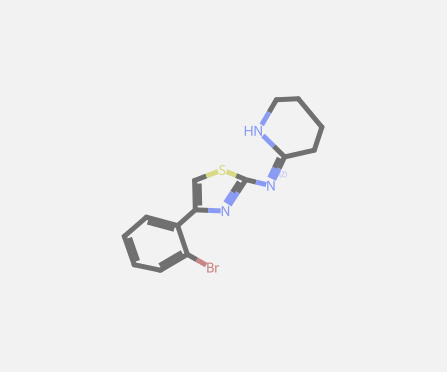 Brc1ccccc1-c1csc(/N=C2/CCCCN2)n1